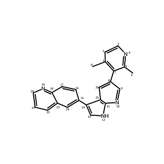 Cc1ccnc(C)c1-c1cnc2[nH]cc(-c3ccc4ncccc4c3)c2c1